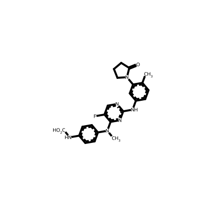 Cc1ccc(Nc2ncc(F)c(N(C)c3ccc(NC(=O)O)cc3)n2)cc1N1CCCC1=O